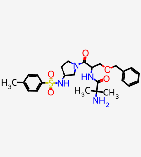 Cc1ccc(S(=O)(=O)NC2CCN(C(=O)C(COCc3ccccc3)NC(=O)C(C)(C)N)C2)cc1